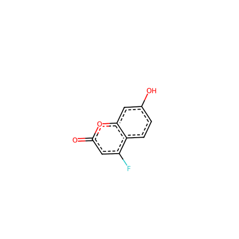 O=c1cc(F)c2ccc(O)cc2o1